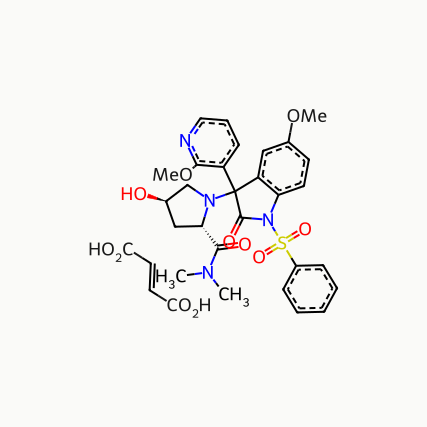 COc1ccc2c(c1)C(c1cccnc1OC)(N1C[C@H](O)C[C@H]1C(=O)N(C)C)C(=O)N2S(=O)(=O)c1ccccc1.O=C(O)/C=C/C(=O)O